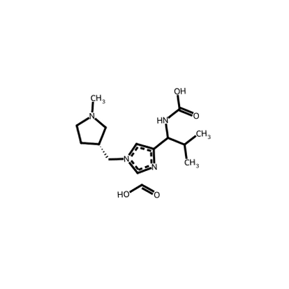 CC(C)C(NC(=O)O)c1cn(C[C@@H]2CCN(C)C2)cn1.O=CO